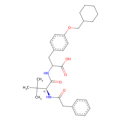 CC(C)(C)[C@H](NC(=O)Cc1ccccc1)C(=O)NC(Cc1ccc(OCC2CCCCC2)cc1)C(=O)O